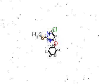 CSc1nc(Cl)cc(Oc2ccccc2)n1